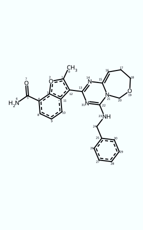 Cc1oc2c(C(N)=O)cccc2c1C1=NC2=CCCOCN2C(NCc2ccccc2)=N1